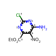 CCOC(=O)c1nc(Cl)nc(N)c1[N+](=O)[O-]